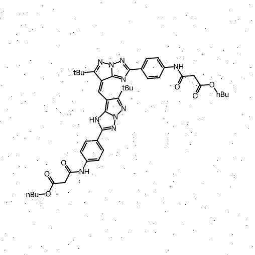 CCCCOC(=O)CC(=O)Nc1ccc(-c2nc3/c(=C\c4c(C(C)(C)C)nn5nc(-c6ccc(NC(=O)CC(=O)OCCCC)cc6)[nH]c45)c(C(C)(C)C)nn3n2)cc1